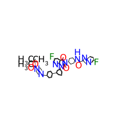 CC(C)(C)OC(=O)N1CCN(Cc2ccc(-c3cccc(-n4c(=O)n([C@H]5CC[C@@H](NC(=O)C6CN7C=C(F)C=CC7=N6)CC5)c(=O)c5cc(F)cnc54)c3)cc2)CC1